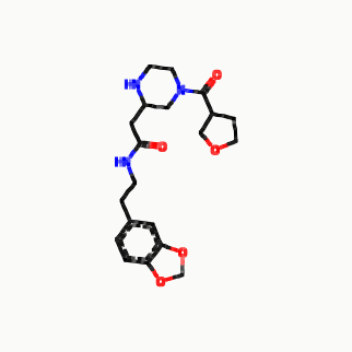 O=C(CC1CN(C(=O)C2CCOC2)CCN1)NCCc1ccc2c(c1)OCO2